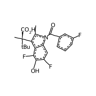 Cc1c([C@](C)(C(=O)O)C(C)(C)C)c2c(F)c(O)c(F)cc2n1C(=O)c1cccc(F)c1